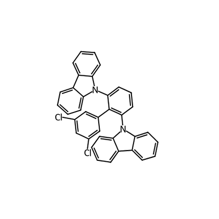 Clc1cc(Cl)cc(-c2c(-n3c4ccccc4c4ccccc43)cccc2-n2c3ccccc3c3ccccc32)c1